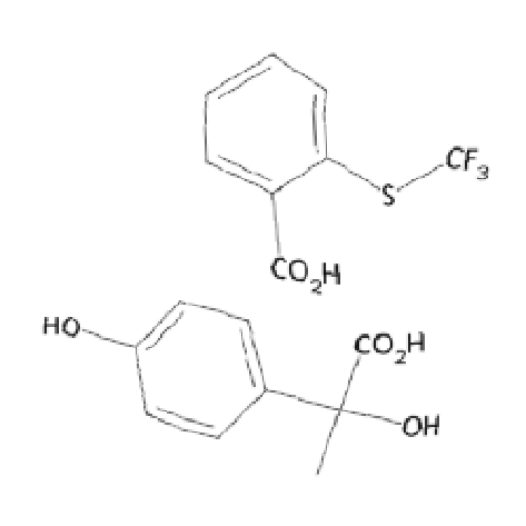 CC(O)(C(=O)O)c1ccc(O)cc1.O=C(O)c1ccccc1SC(F)(F)F